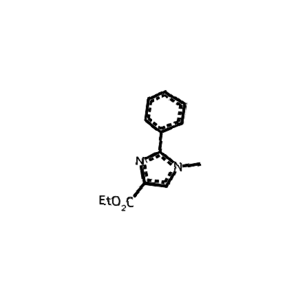 CCOC(=O)c1cn(C)c(-c2ccccc2)n1